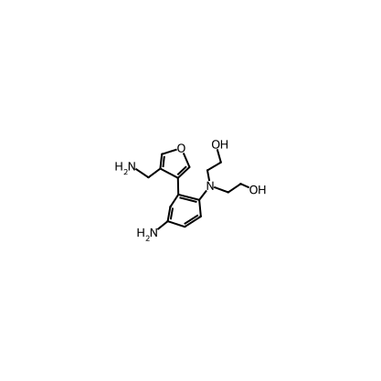 NCc1cocc1-c1cc(N)ccc1N(CCO)CCO